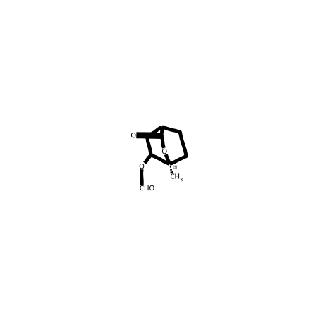 C[C@]12CCC(CC1OC=O)C(=O)O2